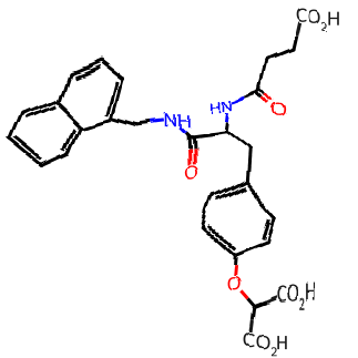 O=C(O)CCC(=O)NC(Cc1ccc(OC(C(=O)O)C(=O)O)cc1)C(=O)NCc1cccc2ccccc12